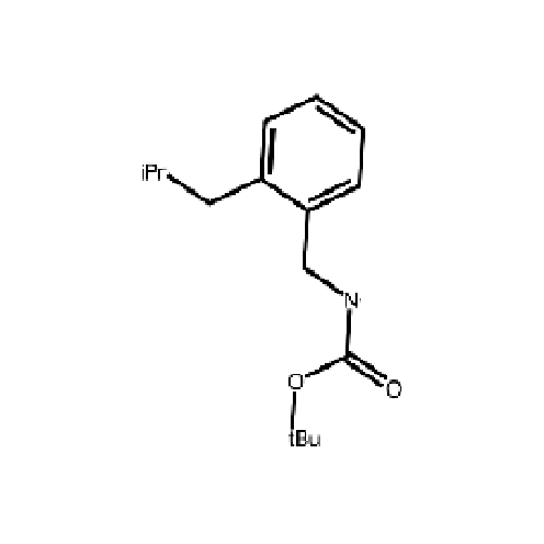 CC(C)Cc1ccccc1C[N]C(=O)OC(C)(C)C